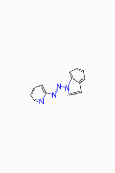 [c]1cc2ccccc2n1/N=N/c1ccccn1